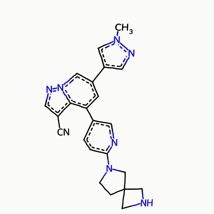 Cn1cc(-c2cc(-c3ccc(N4CCC5(CNC5)C4)nc3)c3c(C#N)cnn3c2)cn1